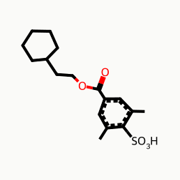 Cc1cc(C(=O)OCCC2CCCCC2)cc(C)c1S(=O)(=O)O